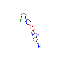 N#Cc1ccc2c(c1)nc1n2C[C@@H](COc2ccc(-c3ccccc3F)nc2)O1